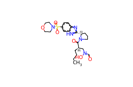 CCCC[C@H](CN(O)C=O)C(=O)N1CCC[C@H]1c1nc2ccc(S(=O)(=O)N3CCOCC3)cc2[nH]1